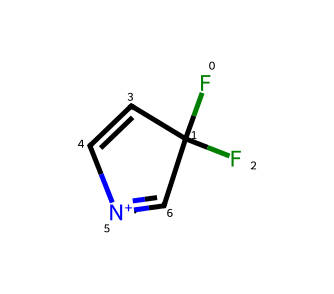 FC1(F)C=C[N+]=C1